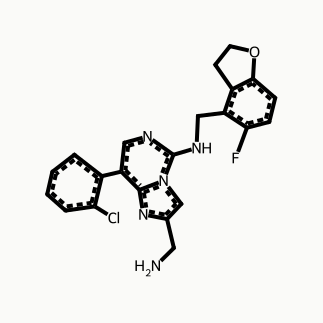 NCc1cn2c(NCc3c(F)ccc4c3CCO4)ncc(-c3ccccc3Cl)c2n1